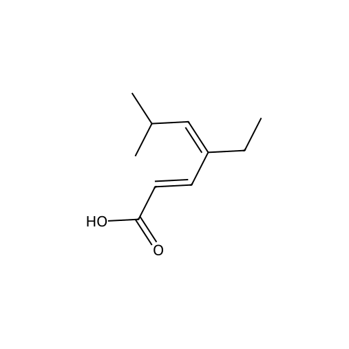 CCC(C=CC(=O)O)=CC(C)C